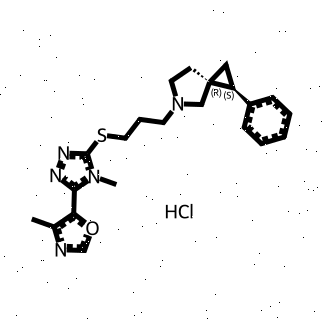 Cc1ncoc1-c1nnc(SCCCN2CC[C@@]3(C[C@H]3c3ccccc3)C2)n1C.Cl